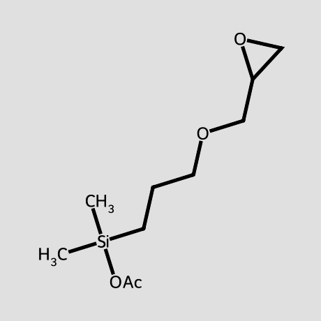 CC(=O)O[Si](C)(C)CCCOCC1CO1